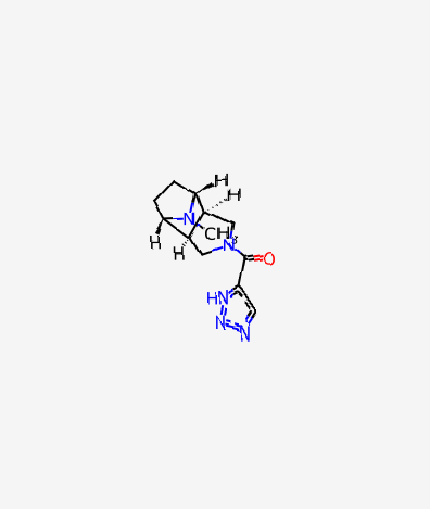 CN1[C@@H]2CC[C@H]1[C@@H]1CN(C(=O)c3cnn[nH]3)C[C@@H]12